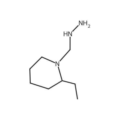 CCC1CCCCN1CNN